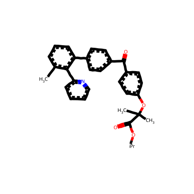 Cc1cccc(-c2ccc(C(=O)c3ccc(OC(C)(C)C(=O)OC(C)C)cc3)cc2)c1-c1ccccn1